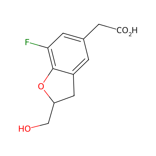 O=C(O)Cc1cc(F)c2c(c1)CC(CO)O2